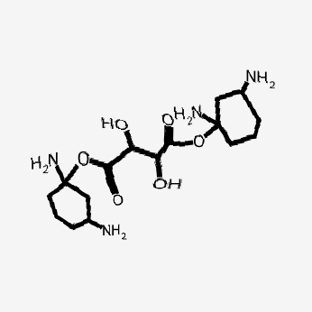 NC1CCCC(N)(OC(=O)C(O)C(O)C(=O)OC2(N)CCCC(N)C2)C1